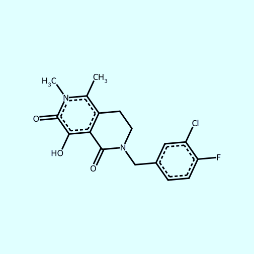 Cc1c2c(c(O)c(=O)n1C)C(=O)N(Cc1ccc(F)c(Cl)c1)CC2